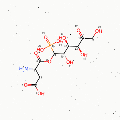 N[C@@H](CC(=O)O)C(=O)OC([C@@H](O)[C@@H](O)[C@H](O)C(=O)CO)P(=O)(O)O